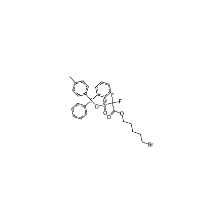 Cc1ccc(S(OS(=O)(=O)C(F)(F)C(=O)OCCCCCBr)(c2ccccc2)c2ccccc2)cc1